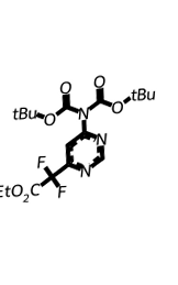 CCOC(=O)C(F)(F)c1cc(N(C(=O)OC(C)(C)C)C(=O)OC(C)(C)C)ncn1